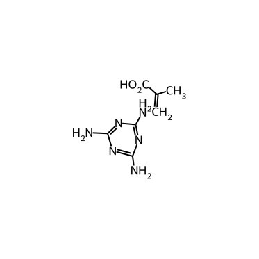 C=C(C)C(=O)O.Nc1nc(N)nc(N)n1